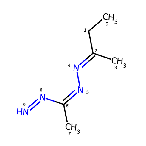 CC/C(C)=N/N=C(/C)N=N